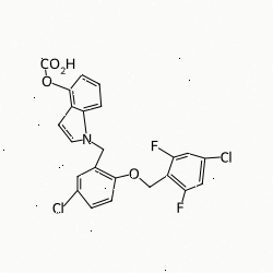 O=C(O)Oc1cccc2c1ccn2Cc1cc(Cl)ccc1OCc1c(F)cc(Cl)cc1F